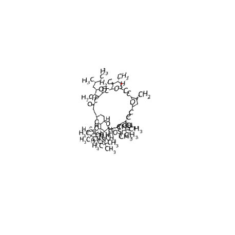 C=C1CC2CCC(=O)/C=C/[C@H](O[Si](C)(C)C(C)(C)C)[C@@H]3O[C@H]4CCC(CC(=O)C[C@@H]5[C@@H](C)[C@@H](C[C@H](C)CC)O[C@H]5CC5O[C@@H](CCC1O2)C[C@@H](C)C5=C)O[C@@H]4[C@H](O[Si](C)(C)C(C)(C)C)[C@@H]3O[Si](C)(C)C(C)(C)C